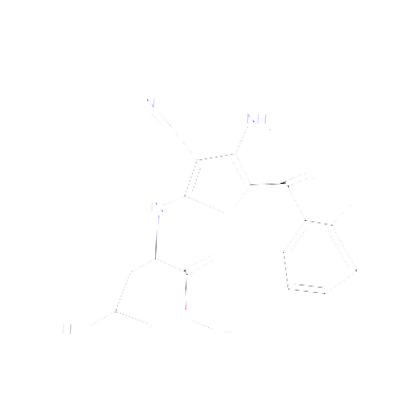 COC(=O)C(CC(C)C)Nc1sc(C(=O)c2ccccc2Cl)c(N)c1C#N